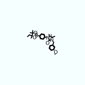 CCC1(C)OB(c2ccc(-n3nc(C)n(Cc4cccc(OC)c4)c3=O)cc2)OC1(C)C